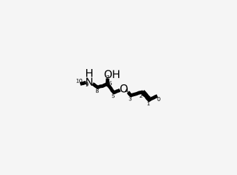 CC=CCOCC(O)CNC